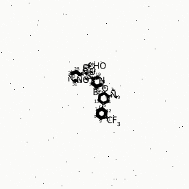 CN(C)[C@H]1C[C@@H](c2cccc(C(F)(F)F)c2)CC[C@@H]1Oc1ncc(S(=O)(=O)N(OC=O)c2ccncn2)cc1Br